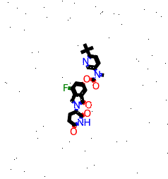 CN(C(=O)Oc1cc(F)c2c(c1)C(=O)N(C1CCC(=O)NC1=O)C2)c1ccc(C(C)(C)C)nc1